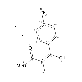 COC(=O)C(C)=C(O)c1ccc(C(F)(F)F)cc1